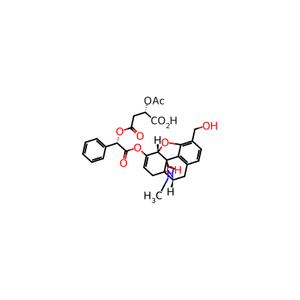 CC(=O)O[C@@H](CC(=O)O[C@H](C(=O)OC1=CC[C@@]2(O)[C@H]3Cc4ccc(CO)c5c4[C@@]2(CCN3C)[C@H]1O5)c1ccccc1)C(=O)O